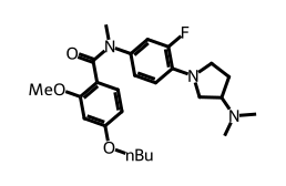 CCCCOc1ccc(C(=O)N(C)c2ccc(N3CCC(N(C)C)C3)c(F)c2)c(OC)c1